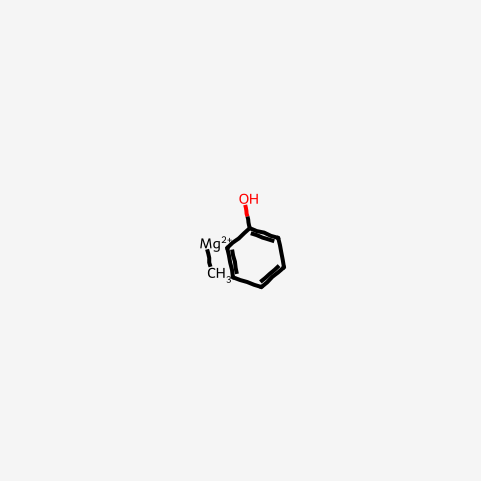 Oc1ccccc1.[CH3][Mg+2]